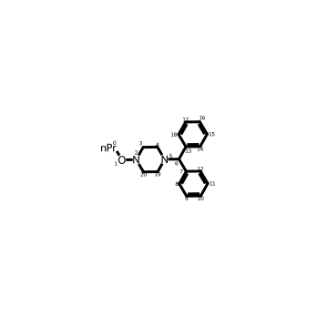 CCCON1CCN(C(c2ccccc2)c2ccccc2)CC1